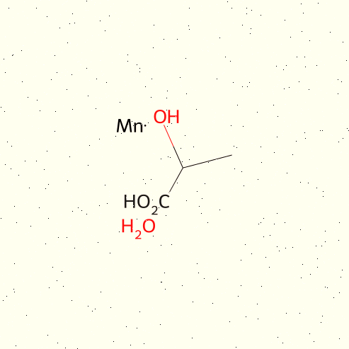 CC(O)C(=O)O.O.[Mn]